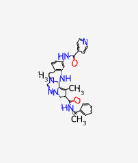 CC1=C2C(Nc3cc(NC(=O)c4ccncc4)ccc3C)=NC=NN2CC1C(=O)N[C@@H](C)c1ccccc1